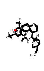 C=CC1CN2CCC1C[C@H]2[C@@H](NS(=O)(=O)c1cc(C(F)(F)F)cc(C(F)(F)F)c1)c1ccnc2ccc(OC)cc12